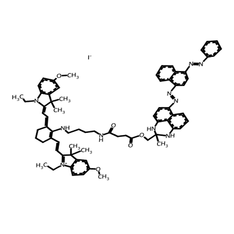 CCN1/C(=C/C=C2\CCCC(/C=C/C3=[N+](CC)c4ccc(OC)cc4C3(C)C)=C2NCCCCNC(=O)CCC(=O)OCC2(C)Nc3cccc4c(/N=N/c5ccc(/N=N/c6ccccc6)c6ccccc56)ccc(c34)N2)C(C)(C)c2cc(OC)ccc21.[I-]